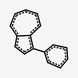 c1ccc(-c2ccc3cccccc2-3)cc1